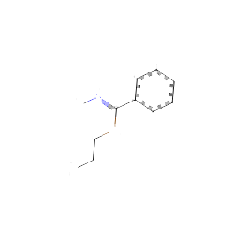 CCCSC(=NC)c1c[c]ccc1